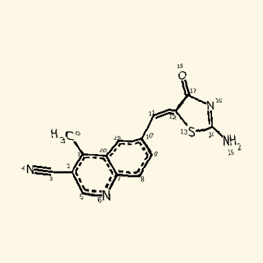 Cc1c(C#N)cnc2ccc(/C=C3\SC(N)=NC3=O)cc12